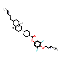 C/C=C/CCC1CC[C@@H]2CC([C@H]3CC[C@H](C(=O)Oc4cc(F)c(OC/C=C/C)c(F)c4)CC3)CC[C@H]2C1